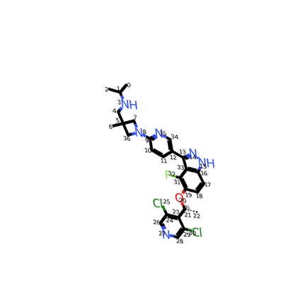 CC(C)NCC1(C)CN(c2ccc(-c3n[nH]c4ccc(O[C@H](C)c5c(Cl)cncc5Cl)c(F)c34)cn2)C1